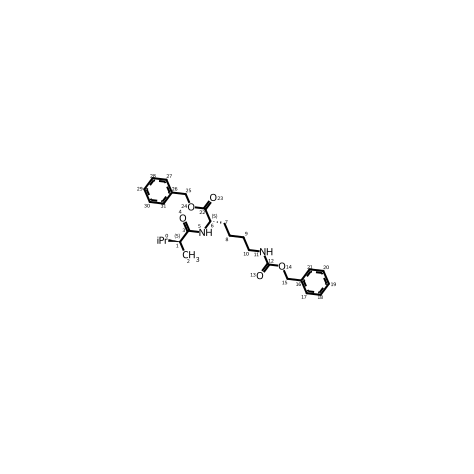 CC(C)[C@H](C)C(=O)N[C@@H](CCCCNC(=O)OCc1ccccc1)C(=O)OCc1ccccc1